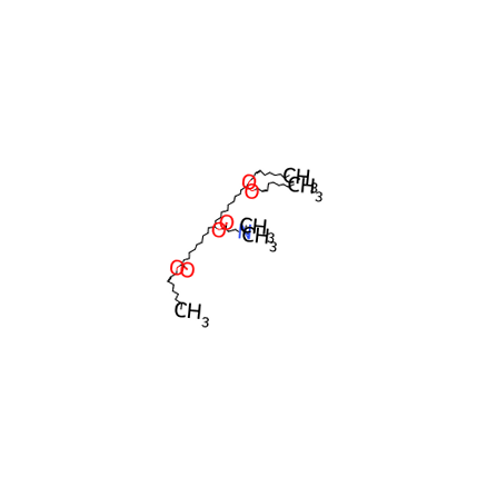 CCCCCC/C=C\COC(=O)CCCCCCCCCC(CCCCCCCCCC(OC/C=C\CCCCCC)OC/C=C\CCCCCC)OC(=O)CCCN(C)C